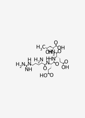 CC(C)C[C@H](NC(=O)[C@H](CCC(=O)O)NC(=O)[C@H](CCC(=O)O)NC(=O)[C@@H](N)CCCNC(=N)N)C(=O)O